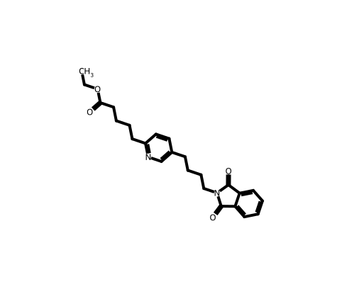 CCOC(=O)CCCCc1ccc(CCCCN2C(=O)c3ccccc3C2=O)cn1